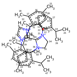 Cc1cc(C)c(-n2cc[n+](-c3c(C)cc(C)cc3C)c2C2=[N+](c3c(C(C)C)cccc3C(C)C)CCN2c2c(C(C)C)cccc2C(C)C)c(C)c1